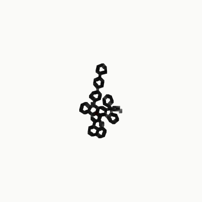 CC1(c2ccccc2)c2ccccc2-c2ccc(N(c3ccc(-c4ccc(-c5ccccc5)cc4)cc3)c3ccccc3-c3ccc4c(c3)-c3cccc5cccc(c35)O4)cc21